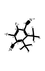 CC(C)(C)c1c(C#N)c(F)c(F)c(C#N)c1C(C)(C)C